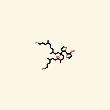 CC(C)CCCC(C)CCCC(C)CCC(O)(CCC(C)CCCC(C)CCCC(C)C)c1ccsc1-c1sccc1O